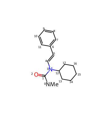 CNC(=O)N(C=Cc1ccccc1)C1CCCCC1